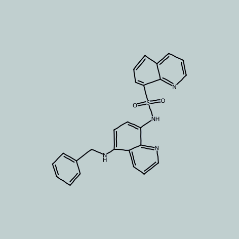 O=S(=O)(Nc1ccc(NCc2ccccc2)c2cccnc12)c1cccc2cccnc12